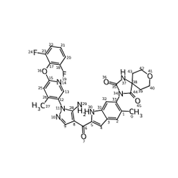 Cc1cc2cc(C(=O)c3cnn(-c4cnc(Oc5c(F)cccc5F)cc4C)c3N)[nH]c2cc1N1C(=O)NC2(CCOCC2)C1=O